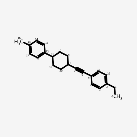 CCc1ccc(C#CC2CCC(c3ccc(C)cc3)CC2)cc1